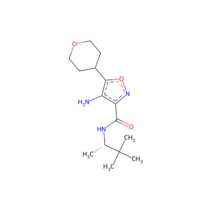 C[C@H](NC(=O)c1noc(C2CCOCC2)c1N)C(C)(C)C